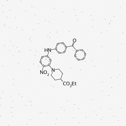 CCOC(=O)C1CCN(c2cc(Nc3ccc(C(=O)c4ccccc4)cc3)ccc2[N+](=O)[O-])CC1